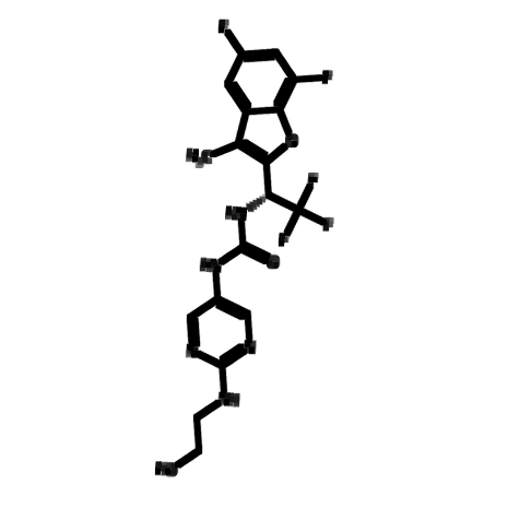 Cc1c([C@@H](NC(=O)Nc2cnc(NCCO)nc2)C(F)(F)F)oc2c(F)cc(F)cc12